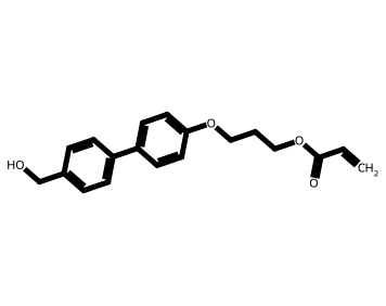 C=CC(=O)OCCCOc1ccc(-c2ccc(CO)cc2)cc1